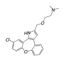 CN(C)CCOCc1cc2c([nH]1)-c1cc(Cl)ccc1Oc1ccccc1-2